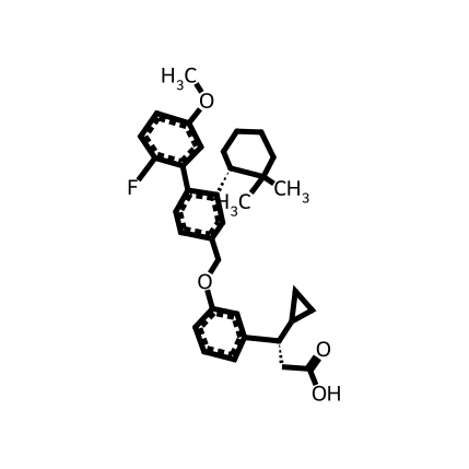 COc1ccc(F)c(-c2ccc(COc3cccc([C@@H](CC(=O)O)C4CC4)c3)cc2[C@@H]2CCCCC2(C)C)c1